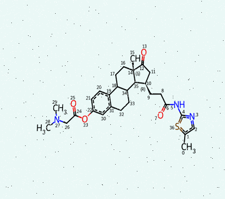 Cc1cnc(NC(=O)CC[C@@H]2CC(=O)[C@@]3(C)CCC4c5ccc(OC(=O)CN(C)C)cc5CCC4C23)s1